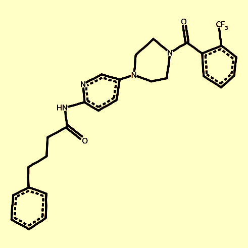 O=C(CCCc1ccccc1)Nc1ccc(N2CCN(C(=O)c3ccccc3C(F)(F)F)CC2)cn1